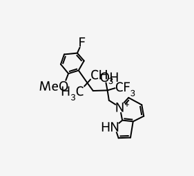 COc1ccc(F)cc1C(C)(C)CC(O)(C[n+]1cccc2cc[nH]c21)C(F)(F)F